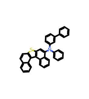 c1ccc(-c2cccc(N(c3ccccc3)c3cc4sc5ccc6ccccc6c5c4c4ccccc34)c2)cc1